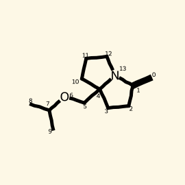 C=C1CCC2(COC(C)C)CCCN12